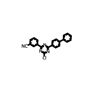 N#Cc1cccc(-c2nc(Cl)nc(-c3ccc(-c4ccccc4)cc3)n2)c1